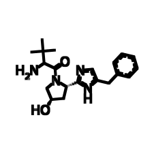 CC(C)(C)C(N)C(=O)N1C[C@H](O)C[C@H]1c1ncc(Cc2ccccc2)[nH]1